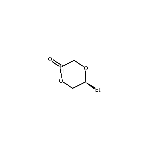 CC[C@H]1CO[PH](=O)CO1